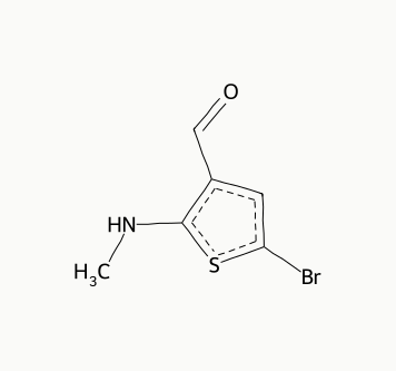 CNc1sc(Br)cc1C=O